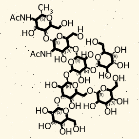 CC(=O)NC1[C@H](O[C@@H]2C(CO)O[C@@H](C)C(NC(C)=O)[C@H]2O)OC(CO)[C@@H](O[C@@H]2OC(O[C@H]3OC(CO[C@@H]4OC(CO)[C@@H](O)[C@H](O)C4O)[C@@H](O)[C@H](O[C@@H]4OC(CO)[C@@H](O)[C@H](O)C4O)C3O)[C@@H](O)[C@H](O[C@@H]3OC(CO)[C@H](O)[C@H](O)C3O)C2O)[C@@H]1O